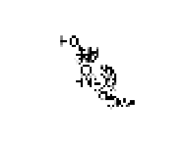 COC(=O)Oc1cn2ncnc(C3C(=O)Nc4ccc(S(=O)(=O)NCCO)cc43)c2c1C